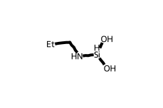 CCCN[SiH](O)O